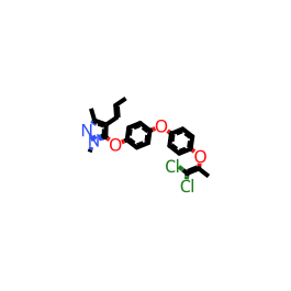 C/C=C/c1c(C)nn(C)c1Oc1ccc(Oc2ccc(OC(C)=C(Cl)Cl)cc2)cc1